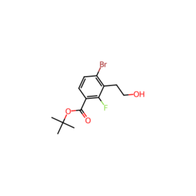 CC(C)(C)OC(=O)c1ccc(Br)c(CCO)c1F